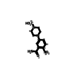 NC(=O)c1cc(N2CCN(C(=O)O)CC2)ccc1[N+](=O)[O-]